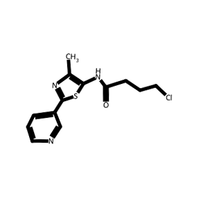 Cc1nc(-c2cccnc2)sc1NC(=O)CCCCl